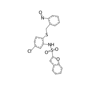 O=Nc1ccccc1CSc1ccc(Cl)cc1NS(=O)(=O)c1cc2ccccc2o1